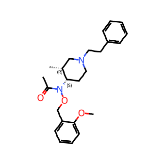 COc1ccccc1CON(C(C)=O)[C@H]1CCN(CCc2ccccc2)C[C@H]1C